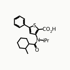 CC1CCCCC1C(=O)N(c1cc(-c2ccccc2)sc1C(=O)O)C(C)C